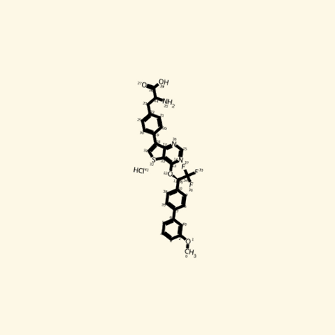 COc1cccc(-c2ccc([C@@H](Oc3ncnc4c(-c5ccc(CC(N)C(=O)O)cc5)csc34)C(F)(F)F)cc2)c1.Cl